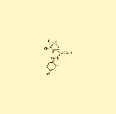 O=C(O)/C(=N/Nc1ccc(Br)cc1)c1ccc(F)c(Cl)c1